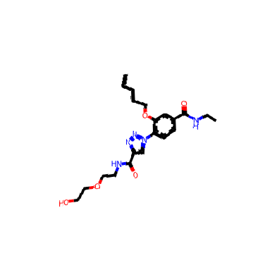 C=CCCCOc1cc(C(=O)NCC)ccc1-n1cc(C(=O)NCCOCCO)nn1